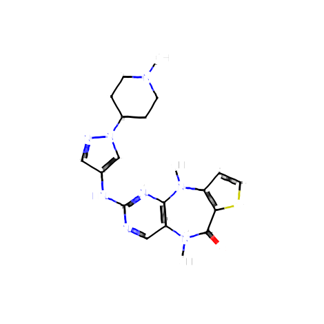 CN1CCC(n2cc(Nc3ncc4c(n3)N(C)c3ccsc3C(=O)N4C)cn2)CC1